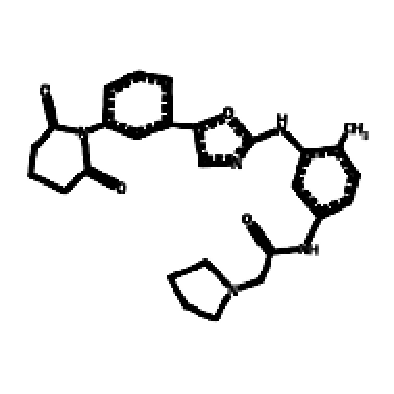 Cc1ccc(NC(=O)CN2CCCC2)cc1Nc1ncc(-c2cccc(N3C(=O)CCCC3=O)c2)o1